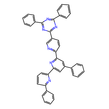 c1ccc(-c2cc(-c3ccc(-c4nc(-c5ccccc5)nc(-c5ccccc5)n4)cn3)nc(-c3cccc(-c4ccccc4)n3)c2)cc1